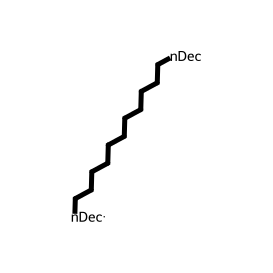 CCCCCCCCC[CH]CCCCCCCCCCCCCCCCCCCCC